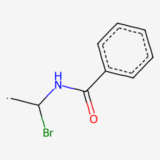 [CH2]C(Br)NC(=O)c1ccccc1